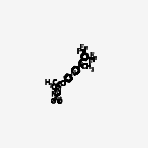 CN(Cc1cc(C(F)(F)F)cc(C(F)(F)F)c1)C1CCN(c2ccc(OC[C@@]3(C)Cn4cc([N+](=O)[O-])nc4O3)cc2)CC1